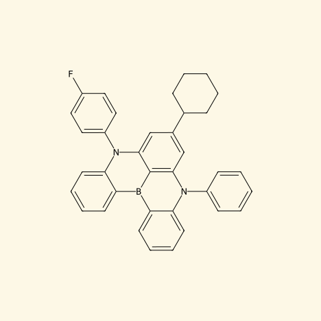 Fc1ccc(N2c3ccccc3B3c4ccccc4N(c4ccccc4)c4cc(C5CCCCC5)cc2c43)cc1